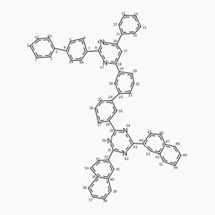 c1ccc(-c2ccc(-c3nc(-c4ccccc4)cc(-c4cccc(-c5cccc(-c6nc(-c7ccc8ccccc8c7)nc(-c7ccc8ccccc8c7)n6)c5)c4)n3)cc2)cc1